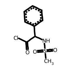 CS(=O)(=O)NC(C(=O)Cl)c1ccccc1